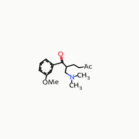 COc1cccc(C(=O)C(CCC(C)=O)CN(C)C)c1